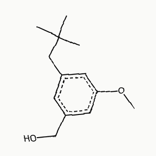 COc1cc(CO)cc(CC(C)(C)C)c1